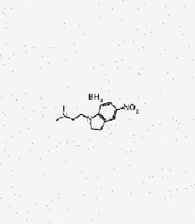 B.CN(C)CCN1CCc2cc([N+](=O)[O-])ccc21